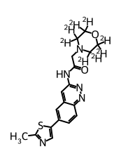 [2H]C1([2H])OC([2H])([2H])C([2H])([2H])N(CC(=O)Nc2cc3cc(-c4cnc(C)s4)ccc3nn2)C1([2H])[2H]